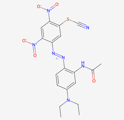 CCN(CC)c1ccc(/N=N/c2cc(SC#N)c([N+](=O)[O-])cc2[N+](=O)[O-])c(NC(C)=O)c1